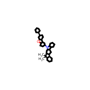 CC1(C)c2ccccc2-c2cc3c4ccccc4n(-c4ccc5oc6cc(-c7ccccc7)ccc6c5c4)c3cc21